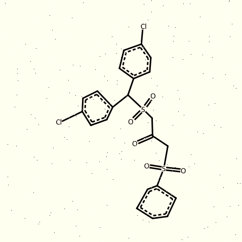 O=C(CS(=O)(=O)c1ccccc1)CS(=O)(=O)C(c1ccc(Cl)cc1)c1ccc(Cl)cc1